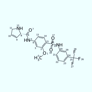 COc1cc(NC(=O)[C@@H]2C=CCN2)ccc1S(=O)(=O)Nc1cccc(C(F)(F)F)c1